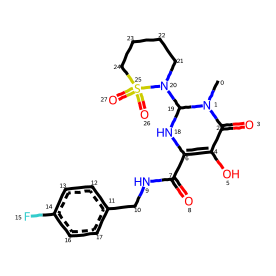 CN1C(=O)C(O)=C(C(=O)NCc2ccc(F)cc2)NC1N1CCCCS1(=O)=O